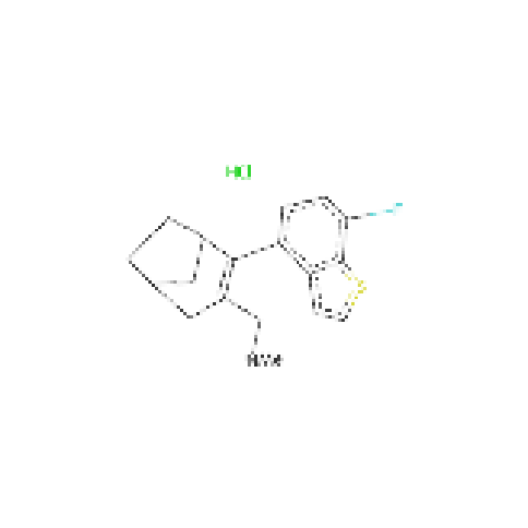 CNCC1=C(c2ccc(F)c3sccc23)C2CCC(C1)C2.Cl